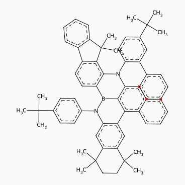 CC(C)(C)c1ccc(N2B3c4ccc5c(c4N(c4ccc(C(C)(C)C)cc4-c4ccccc4)c4cc6ccccc6c(c43)-c3cc4c(cc32)C(C)(C)CCC4(C)C)C(C)(C)c2ccccc2-5)cc1